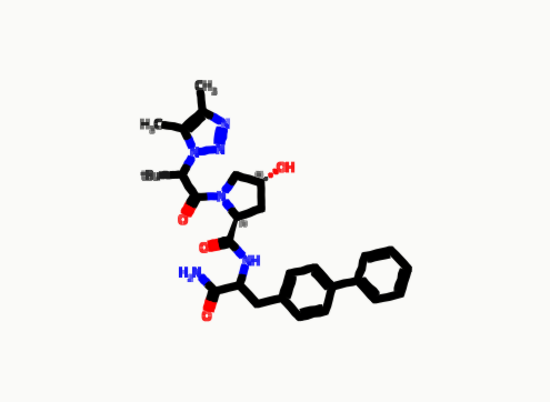 Cc1nnn(C(C(=O)N2C[C@H](O)C[C@H]2C(=O)NC(Cc2ccc(-c3ccccc3)cc2)C(N)=O)C(C)(C)C)c1C